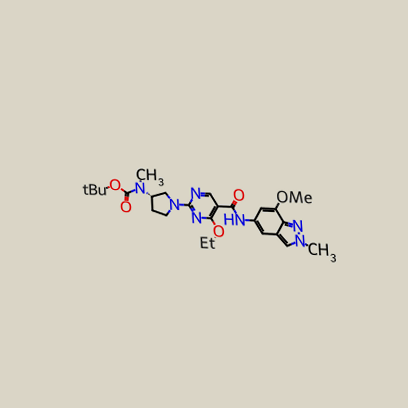 CCOc1nc(N2CC[C@H](N(C)C(=O)OC(C)(C)C)C2)ncc1C(=O)Nc1cc(OC)c2nn(C)cc2c1